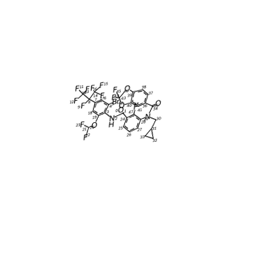 O=C(Nc1c(Br)cc(C(F)(C(F)(F)F)C(F)(F)F)cc1OC(F)F)c1cccc(N(CC2CC2)C(=O)c2ccc3c(c2)OC(F)(F)O3)c1F